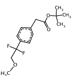 COCC(F)(F)c1ccc(CC(=O)OC(C)(C)C)cc1